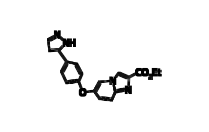 CCOC(=O)c1cn2cc(Oc3ccc(-c4ccn[nH]4)cc3)ccc2n1